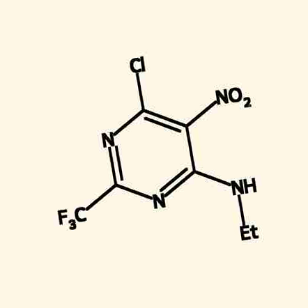 CCNc1nc(C(F)(F)F)nc(Cl)c1[N+](=O)[O-]